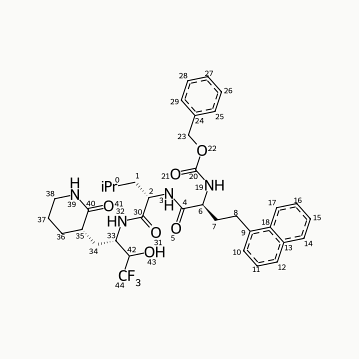 CC(C)C[C@H](NC(=O)[C@H](CCc1cccc2ccccc12)NC(=O)OCc1ccccc1)C(=O)N[C@@H](C[C@@H]1CCCNC1=O)C(O)C(F)(F)F